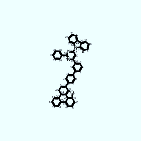 C1=C(c2ccc(-c3cccc(-c4cc(-n5c6ccccc6c6ccccc65)nc(-c5ccccc5)n4)c3)cc2)c2oc3cccc4c3c2C(C1)c1ccccc1-4